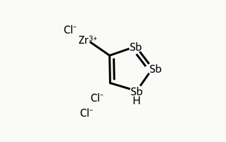 [Cl-].[Cl-].[Cl-].[Zr+3][C]1=[CH][SbH][Sb]=[Sb]1